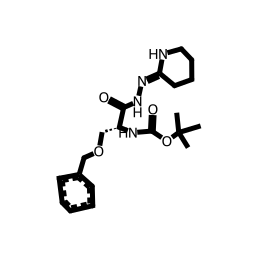 CC(C)(C)OC(=O)N[C@H](COCc1ccccc1)C(=O)NN=C1CCCCN1